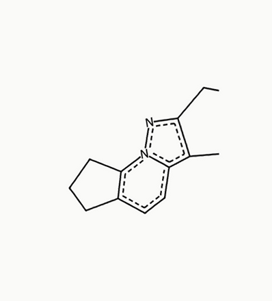 CCc1nn2c3c(ccc2c1C)CCC3